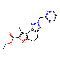 CCOC(=O)c1oc2c(c1C)-c1nn(Cc3ncccn3)cc1CC2